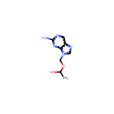 CC(O)OCn1cnc2cnc(N)nc21